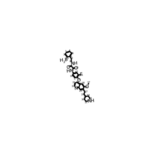 Bc1ccccc1CCNC(=O)C(=O)Nc1ccc(Oc2ccnc3cc(CCC4CCNCC4)c(OC)cc23)c(F)c1